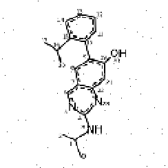 CC(C)Nc1ncc2cc(-c3ccccc3C(C)C)c(O)cc2n1